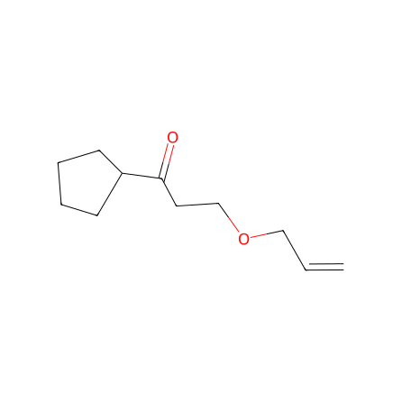 C=CCOCCC(=O)C1CCCC1